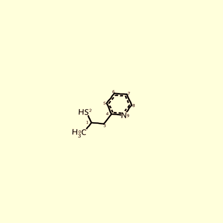 CC(S)Cc1ccccn1